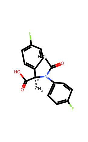 CC(=O)N(c1ccc(F)cc1)[C@@](C)(C(=O)O)c1ccc(F)cc1